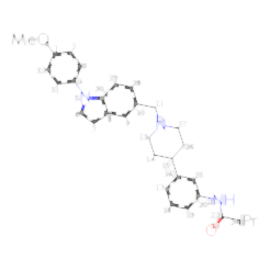 COc1ccc(-n2ccc3cc(CN4CCC(c5cccc(NC(=O)C(C)C)c5)CC4)ccc32)cc1